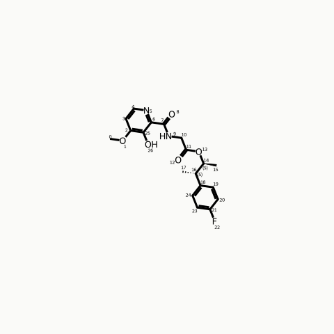 COc1ccnc(C(=O)NCC(=O)O[C@@H](C)[C@@H](C)c2ccc(F)cc2)c1O